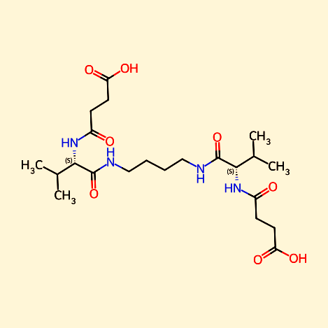 CC(C)[C@H](NC(=O)CCC(=O)O)C(=O)NCCCCNC(=O)[C@@H](NC(=O)CCC(=O)O)C(C)C